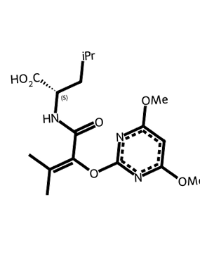 COc1cc(OC)nc(OC(C(=O)N[C@@H](CC(C)C)C(=O)O)=C(C)C)n1